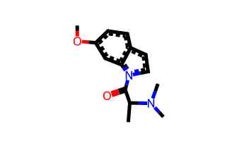 COc1ccc2ccn(C(=O)C(C)N(C)C)c2c1